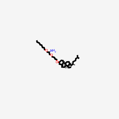 CCCCCCCCOC[C@H](N)COCCCCOC1CC[C@@]2(C)C(=CC[C@H]3[C@@H]4CC[C@H]([C@H](C)CCCC(C)C)[C@@]4(C)CC[C@@H]32)C1